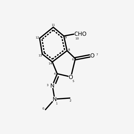 CN(C)N=C1OC(=O)c2c(C=O)cccc21